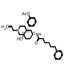 C=CCN1CC[C@@]2(c3cccc(OC(C)=O)c3)C[C@H](NC(=O)CCCCCc3ccccc3)CC[C@]2(O)C1